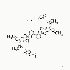 CCOc1cc(O[C@H]2CCc3c(-c4cccc5c4CC[C@@H]5Oc4cc(OCC)c(CN(C)CCCC(=O)OC)cc4Cl)cccc32)c(Cl)cc1CN(C)CCCC(C)=O